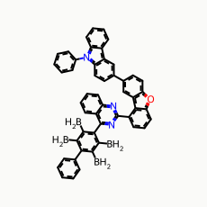 Bc1c(B)c(-c2nc(-c3cccc4oc5ccc(-c6ccc7c(c6)c6ccccc6n7-c6ccccc6)cc5c34)nc3ccccc23)c(B)c(B)c1-c1ccccc1